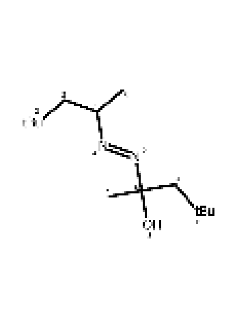 CC(CC(C)(C)C)N=NC(C)(O)CC(C)(C)C